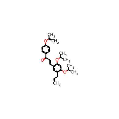 C=CCc1cc(/C=C/C(=O)c2ccc(OC(=C)C)cc2)c(OC(C)C)cc1OC(C)C